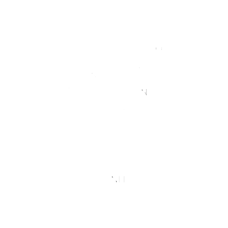 [NH]c1ccc2c(c1)NC(=O)CS2(=O)=O